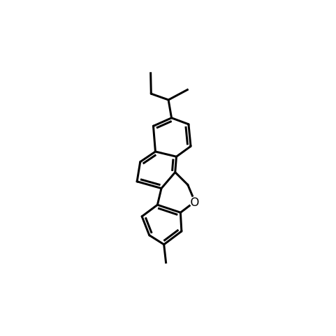 CCC(C)c1ccc2c3c(ccc2c1)-c1ccc(C)cc1OC3